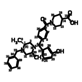 C[C@@H]1CN([C@H](c2ccc(C(=O)N3CCC(C(=O)O)CC3)cc2)c2cccc(O)c2)[C@@H](C)CN1Cc1ccccc1